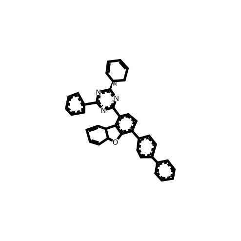 C1=CC[C@@H](c2nc(-c3ccccc3)nc(-c3ccc(-c4ccc(-c5ccccc5)cc4)c4c3C3C=CC=CC3O4)n2)C=C1